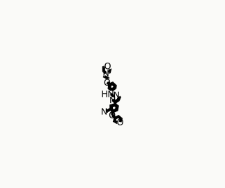 N#Cc1cc(-c2ccnc(Nc3cccc(OCCN4CCOCC4)c3)n2)ccc1OC1CCOCC1